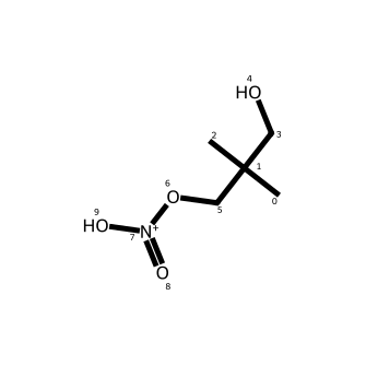 CC(C)(CO)CO[N+](=O)O